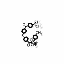 Cc1ccc([S+]([O-])C(C)(C)C(=O)c2ccc(Sc3ccc(C(=O)c4ccc(N(C)C)cc4)cc3)cc2)cc1